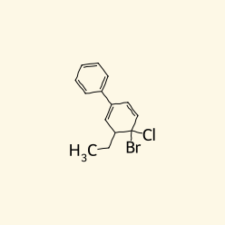 CCC1C=C(c2ccccc2)C=CC1(Cl)Br